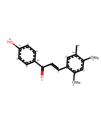 COc1cc(OC)c(/C=C/C(=O)c2ccc(O)cc2)cc1C